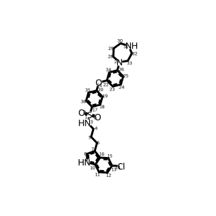 O=S(=O)(NCCCc1c[nH]c2ccc(Cl)cc12)c1ccc(Oc2cccc(N3CCCNCC3)c2)cc1